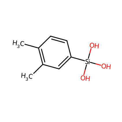 Cc1ccc([Si](O)(O)O)cc1C